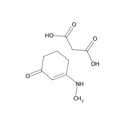 CNC1=CC(=O)CCC1.O=C(O)CC(=O)O